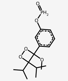 COC1(c2cccc(O[PH2]=O)c2)OOC1(C(C)C)C(C)C